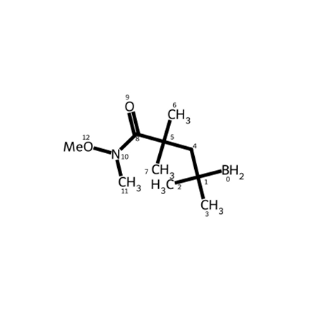 BC(C)(C)CC(C)(C)C(=O)N(C)OC